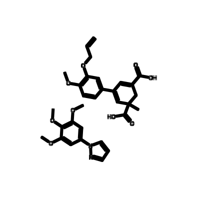 C=CCOc1cc(C2=CC(C)(C(=O)O)CC(C(=O)O)=C2)ccc1OC.COc1cc(-n2cccn2)cc(OC)c1OC